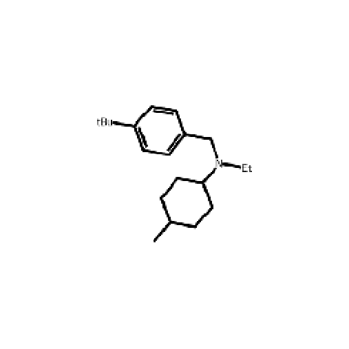 CCN(Cc1ccc(C(C)(C)C)cc1)C1CCC(C)CC1